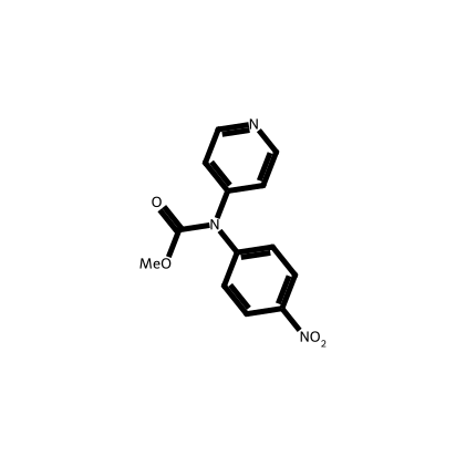 COC(=O)N(c1ccncc1)c1ccc([N+](=O)[O-])cc1